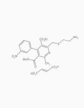 CCOC(=O)c1c(CSCCN)nc(C)c(C(=O)OC)c1-c1cccc([N+](=O)[O-])c1.O=C(O)C=CC(=O)O